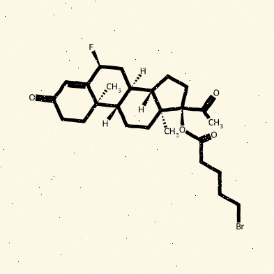 CC(=O)[C@@]1(OC(=O)CCCCBr)CC[C@H]2[C@@H]3C[C@H](F)C4=CC(=O)CC[C@]4(C)[C@H]3CC[C@@]21C